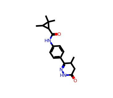 CC1CC(=O)NN=C1c1ccc(NC(=O)C2C(C)C2(C)C)cc1